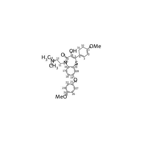 COC1=CC=C(C2=C(O)C(=O)N(CCN(C)C)c3ccc(Oc4ccc(OC)cc4)cc3S2)CC1